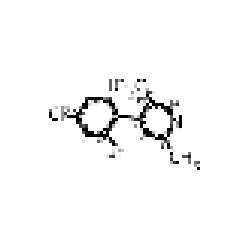 Cc1cc(-c2ccc(Cl)cc2F)c(C(=O)O)cn1